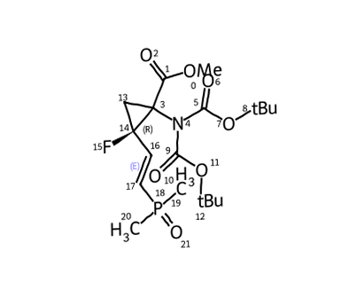 COC(=O)C1(N(C(=O)OC(C)(C)C)C(=O)OC(C)(C)C)C[C@@]1(F)/C=C/P(C)(C)=O